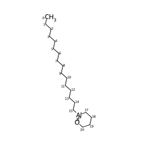 CCCCCCCCCCCCCCC[CH2][Al]1[CH2]CCC[O]1